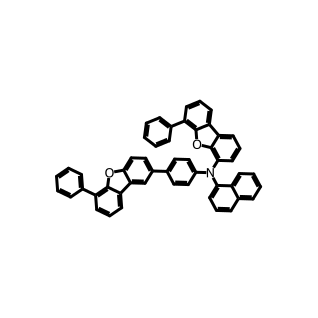 c1ccc(-c2cccc3c2oc2ccc(-c4ccc(N(c5cccc6ccccc56)c5cccc6c5oc5c(-c7ccccc7)cccc56)cc4)cc23)cc1